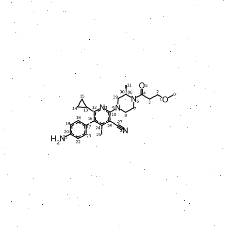 COCCC(=O)N1CCN(c2nc(C3CC3)c(-c3ccc(N)cc3)c(C)c2C#N)C[C@H]1C